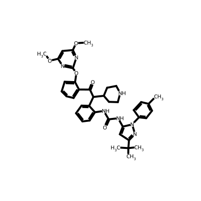 COc1cc(OC)nc(Oc2ccccc2C(=O)C(c2ccccc2NC(=O)Nc2cc(C(C)(C)C)nn2-c2ccc(C)cc2)C2CCNCC2)n1